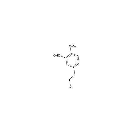 COc1ccc(CCCl)cc1C=O